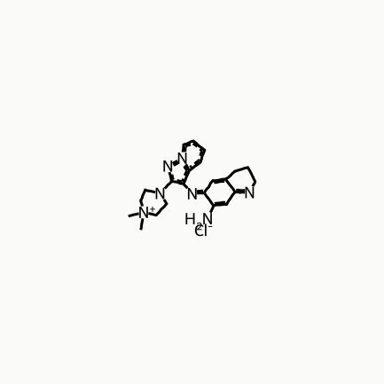 C[N+]1(C)CCN(c2nn3ccccc3c2N=C2C=C3CCCN=C3C=C2N)CC1.[Cl-]